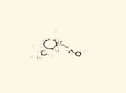 CC[C@H]1OC(=O)[C@@](C)(F)C(=O)[C@H](C)[C@@H](O[C@H]2C[C@@H](N(C)C)C[C@@H](C)O2)[C@@H](C)C[C@@H](C)C(=O)[C@H](C)[C@@H]2[C@@H]1OC(=O)N2CCCCn1cc(-c2cccc(N)c2)nn1